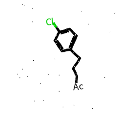 CC(=O)CCCc1ccc(Cl)cc1